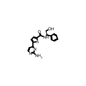 Nc1nccc(-c2ccc(C(=O)N[C@@H](CO)c3ccccc3)s2)n1